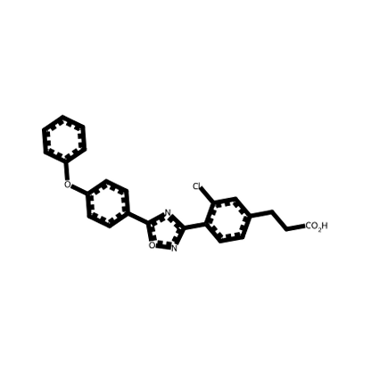 O=C(O)CCc1ccc(-c2noc(-c3ccc(Oc4ccccc4)cc3)n2)c(Cl)c1